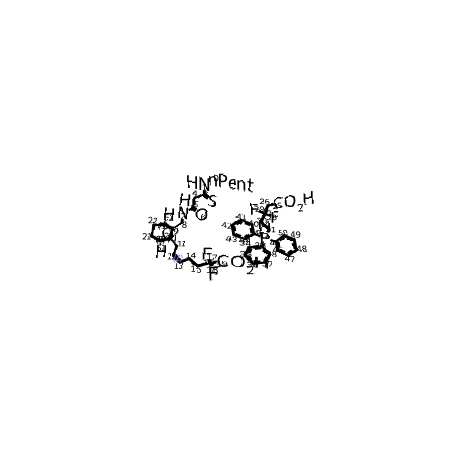 CCCCCNC(=S)CC(=O)NC[C@H]1[C@@H](C/C=C\CCC(F)(F)C(=O)O)[C@H]2CC[C@@H]1O2.O=C(O)CC(F)(F)CC[PH](c1ccccc1)(c1ccccc1)c1ccccc1